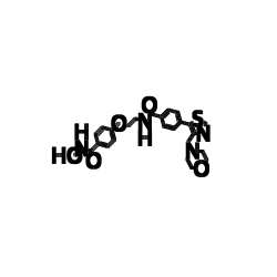 O=C(NO)c1ccc(OCCNC(=O)c2ccc(-c3scnc3CN3CCOCC3)cc2)cc1